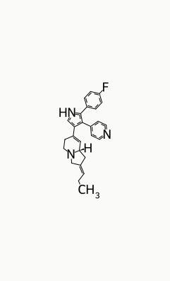 CCC=C1C[C@H]2C=C(c3c[nH]c(-c4ccc(F)cc4)c3-c3ccncc3)CCN2C1